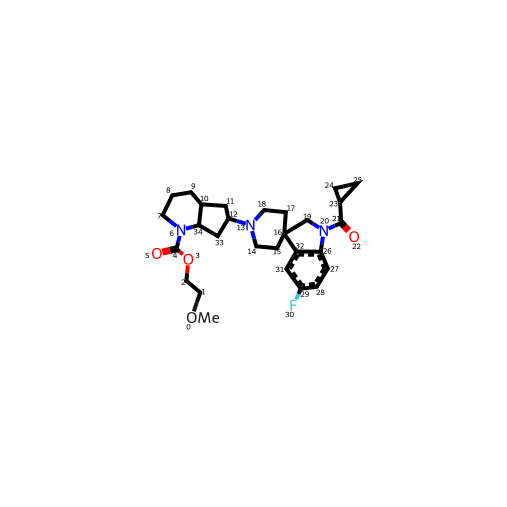 COCCOC(=O)N1CCCC2CC(N3CCC4(CC3)CN(C(=O)C3CC3)c3ccc(F)cc34)CC21